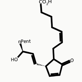 CCCCC[C@H](O)/C=C/[C@H]1C=CC(=O)C1C/C=C\CCCC(=O)O